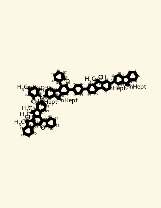 CCCCCCCC1(CCCCCCC)c2ccccc2-c2ccc(-c3ccc4c(c3)C(C)(C)c3cc(-c5ccc(-c6cc7c(c8c6oc6ccccc68)-c6ccc(N(c8ccc9c(c8)C(C)(C)c8c%10c(c%11oc%12ccccc%12c%11c8-9)-c8ccccc8C%10(C)C)c8c(C)cc(C)cc8C)cc6C7(CCCCCCC)CCCCCCC)cc5)ccc3-4)cc21